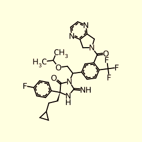 CC(C)OCC(c1ccc(C(F)(F)F)c(C(=O)N2Cc3nccnc3C2)c1)N1C(=N)N[C@](CCC2CC2)(c2ccc(F)cc2)C1=O